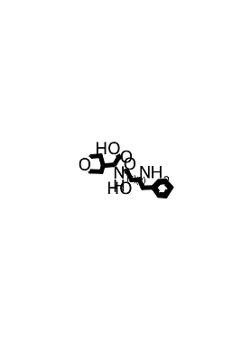 N[C@H](Cc1ccccc1)[C@H](O)C(=O)NC(C(=O)O)C1CCOCC1